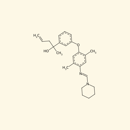 C=CCC(C)(O)c1cccc(Oc2cc(C)c(/N=C/N3CCCCC3)cc2C)c1